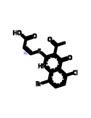 CC(=O)c1c(S/C=C\C(=O)O)[nH]c2c(Br)ccc(Cl)c2c1=O